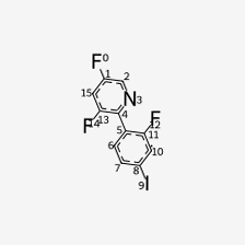 Fc1cnc(-c2ccc(I)[c]c2F)c(F)c1